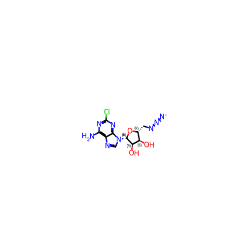 [N-]=[N+]=NC[C@H]1O[C@@H](n2cnc3c(N)nc(Cl)nc32)[C@H](O)[C@@H]1O